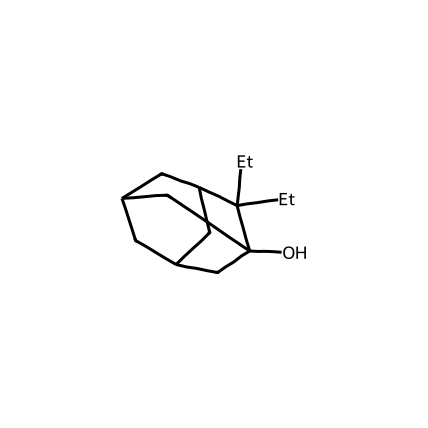 CCC1(CC)C2CC3CC(C2)CC1(O)C3